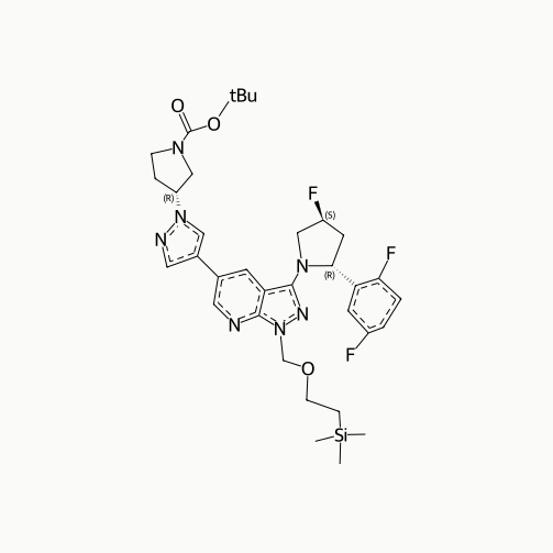 CC(C)(C)OC(=O)N1CC[C@@H](n2cc(-c3cnc4c(c3)c(N3C[C@@H](F)C[C@@H]3c3cc(F)ccc3F)nn4COCC[Si](C)(C)C)cn2)C1